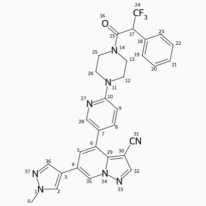 Cn1cc(-c2cc(-c3ccc(N4CCN(C(=O)C(c5ccccc5)C(F)(F)F)CC4)nc3)c3c(C#N)cnn3c2)cn1